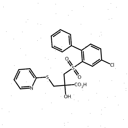 O=C(O)C(O)(CSc1ccccn1)CS(=O)(=O)c1cc(Cl)ccc1-c1ccccc1